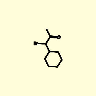 CC(=O)C(Br)C1CCCCC1